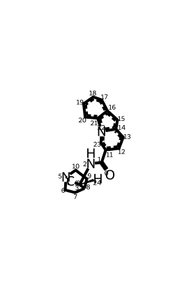 O=C(N[C@H]1CN2CCC1CC2)c1ccc2cc3ccccc3n2c1